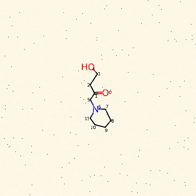 O=C(CCO)CN1CCCCC1